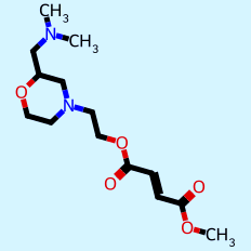 COC(=O)/C=C/C(=O)OCCN1CCOC(CN(C)C)C1